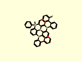 C[Si]1(c2ccccc2)c2cccc3c2B2c4c(cccc4N(c4ccccc4-c4ccccc4F)c4cccc1c42)N3c1ccccc1-c1ccccc1F